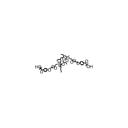 CCCCOC(=O)C(CC(CC)CCC(CC)CC(SCCC(=O)OCCOc1ccc(C(=O)C(C)(C)O)cc1)C(=O)OCCCC)SCCC(=O)OCCOc1ccc(C(=O)C(C)(C)O)cc1